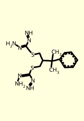 CC(C)(c1ccccc1)C(CSC(N=N)=NN)CSC(N=N)=NN